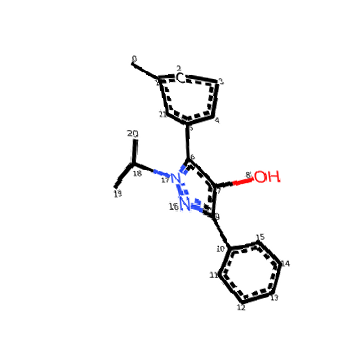 Cc1cccc(-c2c(O)c(-c3ccccc3)nn2C(C)C)c1